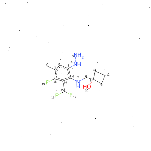 Cc1cc(NN)c(NCC2(O)CCC2)c(C(F)F)c1F